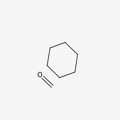 C1CCCCC1.C=O